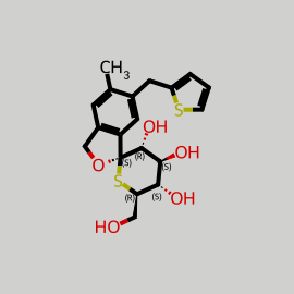 Cc1cc2c(cc1Cc1cccs1)[C@]1(OC2)S[C@H](CO)[C@@H](O)[C@H](O)[C@H]1O